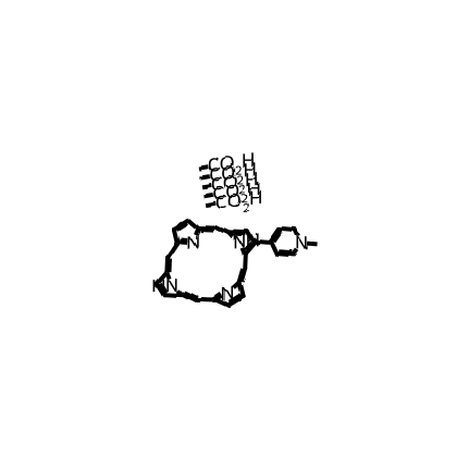 CC(=O)O.CC(=O)O.CC(=O)O.CC(=O)O.CC(=O)O.CN1C=CC(c2cc3cc4nc(cc5ccc(cc6nc(cc2[nH]3)C=C6)[nH]5)C=C4)=CC1